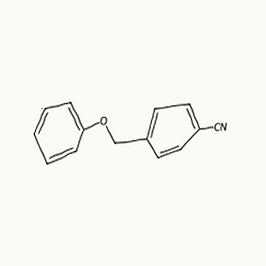 N#Cc1ccc(COc2c[c]ccc2)cc1